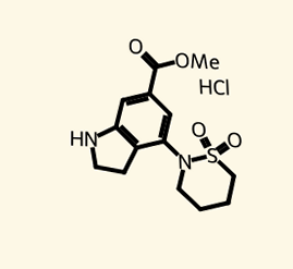 COC(=O)c1cc2c(c(N3CCCCS3(=O)=O)c1)CCN2.Cl